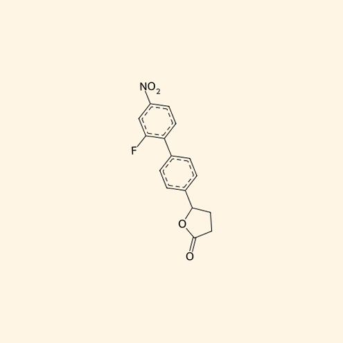 O=C1CCC(c2ccc(-c3ccc([N+](=O)[O-])cc3F)cc2)O1